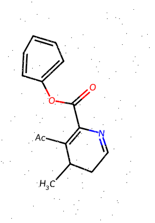 CC(=O)C1=C(C(=O)Oc2ccccc2)N=CCC1C